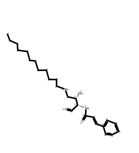 CCCCCCCCCCCCNC[C@H](O)[C@@H](C=O)NC(=O)/C=C/c1ccccc1